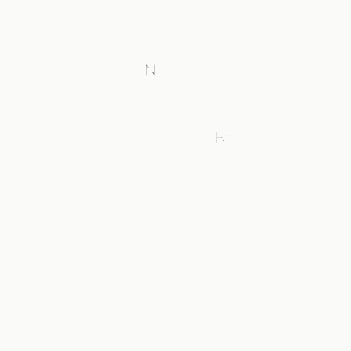 CCCCCCCCCCCCCCCC[N+](CCC)(CCCC)CCCC.[Br-]